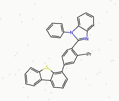 CC(C)c1cc(-c2cccc3c2sc2ccccc23)ccc1-c1nc2ccccc2n1-c1ccccc1